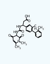 CC1=CC(=O)C(NC(=O)NC(CC(=O)O)c2ccc(-c3ccccc3C)c(C)c2)C(=O)N1C